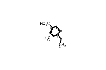 NCc1ccc(C(=O)O)cc1.O